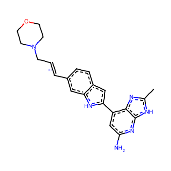 Cc1nc2c(-c3cc4ccc(/C=C/CN5CCOCC5)cc4[nH]3)cc(N)nc2[nH]1